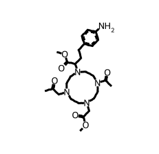 COC(=O)CN1CCN(CC(C)=O)CCN(C(CCc2ccc(N)cc2)C(=O)OC)CCN(C(C)=O)CC1